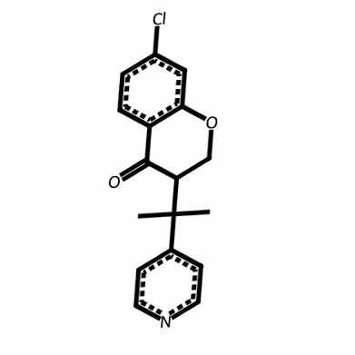 CC(C)(c1ccncc1)C1COc2cc(Cl)ccc2C1=O